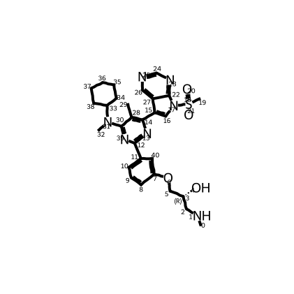 CNC[C@@H](O)COc1cccc(-c2nc(-c3cn(S(C)(=O)=O)c4ncncc34)c(C)c(N(C)C3CCCCC3)n2)c1